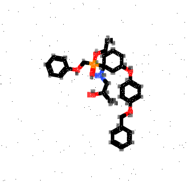 CCOP(=O)(COc1ccccc1)C1(NCC(C)O)CCCC(Oc2ccc(OCc3ccccc3)cc2)C1